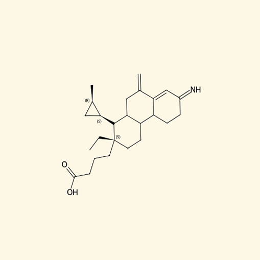 C=C1CC2C(CC[C@](CC)(CCCC(=O)O)C2[C@H]2C[C@H]2C)C2CCC(=N)C=C12